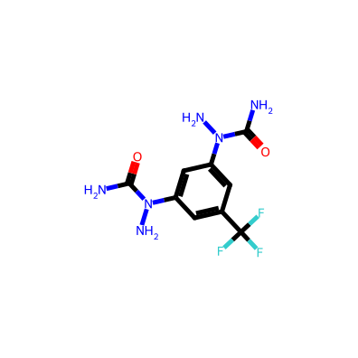 NC(=O)N(N)c1cc(N(N)C(N)=O)cc(C(F)(F)F)c1